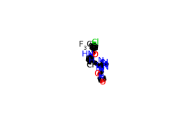 Cc1ccc(NC(=O)c2ccc(Cl)c(C(F)(F)F)c2)cc1C#Cc1nn(CC(=O)N2CCOCC2)c2ncnc(N)c12